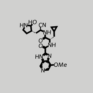 COc1cncc2[nH]c(C(=O)N[C@@H](CC3CC3)C(=O)N[C@H](C#N)C[C@@H]3CCNC3O)nc12